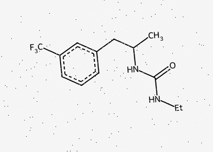 CCNC(=O)NC(C)Cc1cccc(C(F)(F)F)c1